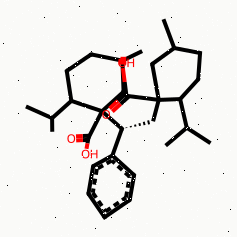 CC1CCC(C(C)C)C(C[C@H](c2ccccc2)C2(C(=O)O)CC(C)CCC2C(C)C)(C(=O)O)C1